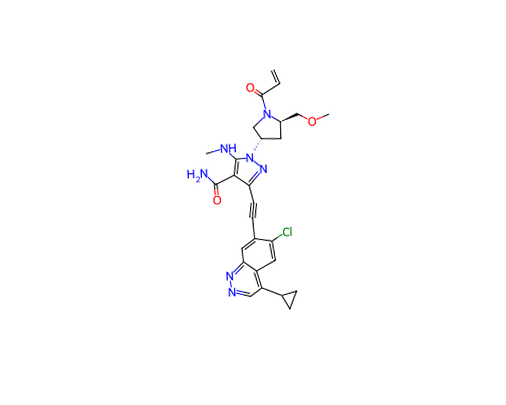 C=CC(=O)N1C[C@@H](n2nc(C#Cc3cc4nncc(C5CC5)c4cc3Cl)c(C(N)=O)c2NC)C[C@@H]1COC